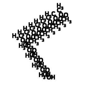 CCOC(C)=O.CCOC(C)=O.CCOC(C)=O.CCOC(C)=O.CCOC(C)=O.CCOC(C)=O.CCOC(C)=O.CCOC(C)=O.CCOC(C)=O.CCOC(C)=O.CCOC(C)=O.CO